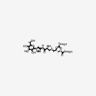 CCCCCCCC(=O)OC[C@H](CSC[C@@H](N)C(=O)Nc1cn(C2OC(CO)C(O)C(O)C2O)nn1)OC(=O)CCCCCCC